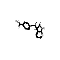 C[C@H](c1ccc(C(N)=O)cc1)[C@@]1(C)C(=O)Nc2ncccc21